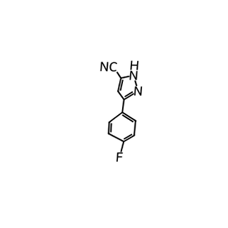 N#Cc1cc(-c2ccc(F)cc2)n[nH]1